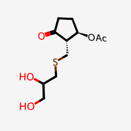 CC(=O)O[C@@H]1CCC(=O)[C@H]1CSCC(O)CO